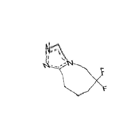 FC1(F)CCCc2nncn2C1